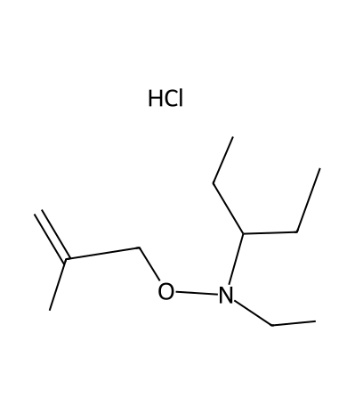 C=C(C)CON(CC)C(CC)CC.Cl